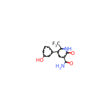 NC(=O)c1cc(-c2cccc(O)c2)c(C(F)(F)F)[nH]c1=O